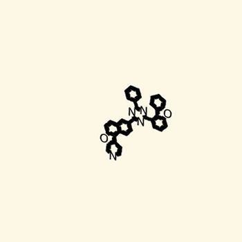 c1ccc(-c2nc(-c3ccc4c(ccc5oc6cnccc6c54)c3)nc(-c3cccc4oc5ccccc5c34)n2)cc1